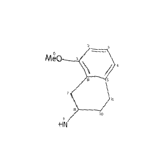 COc1cccc2c1CC([NH])CC2